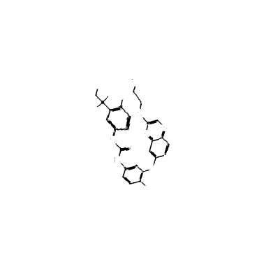 COCCNc1cnc2ccc(Oc3cc(NC(=O)Nc4ccc(Cl)c(C(F)(F)CF)c4)ccc3F)cc2n1